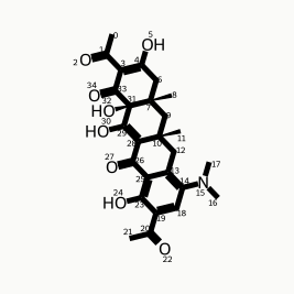 CC(=O)C1=C(O)C[C@]2(C)C[C@]3(C)Cc4c(N(C)C)cc(C(C)=O)c(O)c4C(=O)C3=C(O)[C@]2(O)C1=O